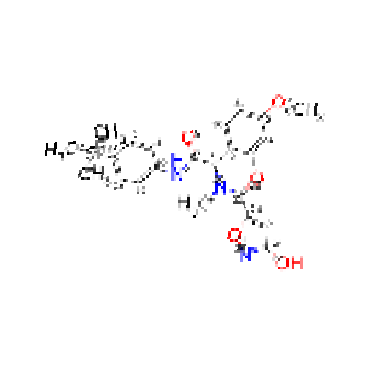 COc1ccc([C@H](C(=O)Nc2ccc([Si](C)(C)C)cc2)N(C)C(=O)c2cc(O)no2)cc1